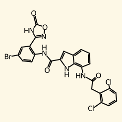 O=C(Cc1c(Cl)cccc1Cl)Nc1cccc2cc(C(=O)Nc3ccc(Br)cc3-c3noc(=O)[nH]3)[nH]c12